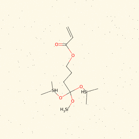 C=CC(=O)OCCCC(O[SiH3])(O[SiH](C)C)O[SiH](C)C